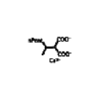 CCCCCC(C)C(C(=O)[O-])C(=O)[O-].[Ca+2]